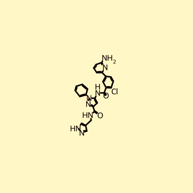 Nc1cccc(-c2ccc(Cl)c(C(=O)Nc3cc(C(=O)NCc4cn[nH]c4)nn3-c3ccccc3)c2)n1